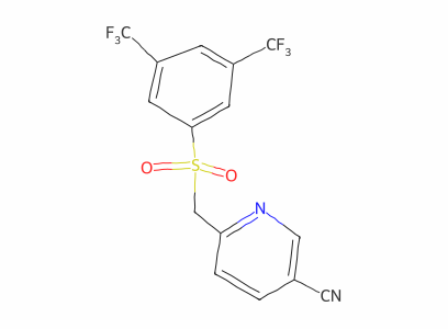 N#Cc1ccc(CS(=O)(=O)c2cc(C(F)(F)F)cc(C(F)(F)F)c2)nc1